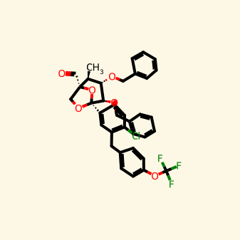 C[C@H]1[C@H](OCc2ccccc2)[C@@H](OCc2ccccc2)[C@@]2(c3ccc(Cl)c(Cc4ccc(OC(F)(F)F)cc4)c3)OC[C@]1(C=O)O2